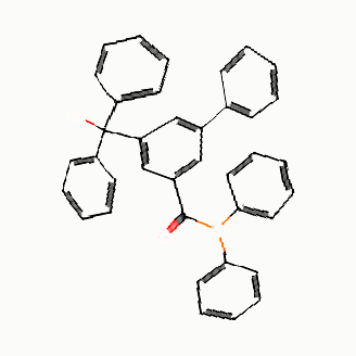 O=C(c1cc(-c2ccccc2)cc(C(O)(c2ccccc2)c2ccccc2)c1)P(c1ccccc1)c1ccccc1